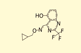 Oc1cccc2nc(C(F)(F)F)nc(C=NOCC3CC3)c12